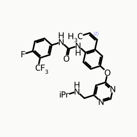 C/C=C\c1cc(Oc2cc(CNC(C)C)ncn2)ccc1NC(=O)Nc1ccc(F)c(C(F)(F)F)c1